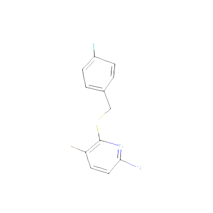 Nc1[c]cc(Br)c(SCc2ccc(F)cc2)n1